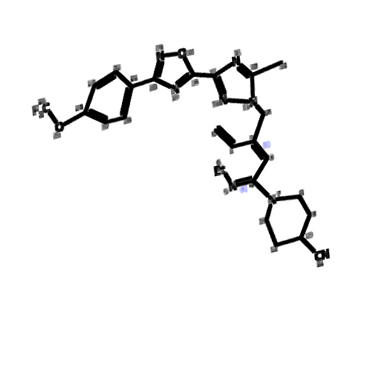 C=C/C(=C\C(=N/CC)N1CCC(C#N)CC1)Cn1nc(-c2nc(-c3ccc(OC(F)(F)F)cc3)no2)nc1C